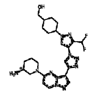 N[C@H]1CCCN(c2ccn3ncc(-c4cn(-c5cn(C6CCC(CO)CC6)nc5C(F)F)nn4)c3n2)C1